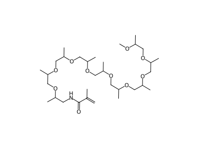 C=C(C)C(=O)NCC(C)OCC(C)OCC(C)OCC(C)OCC(C)OCC(C)OCC(C)OCC(C)OCC(C)OC